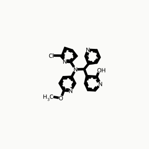 COc1ccc(N(c2cccc(Cl)n2)C(c2cccnc2)c2cccnc2O)cn1